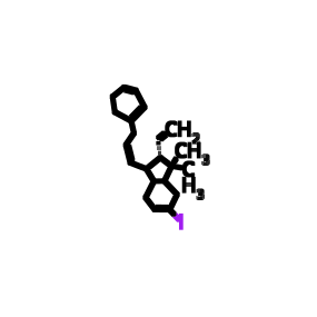 C=C[C@H]1C(/C=C\CC2=CC=CCC2)C2CC=C(I)CC2C1(C)C